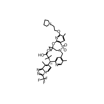 Cc1cnc([C@@H](c2ccn3c(C(F)(F)F)nnc3c2C)C(C)(C)C(=O)O)cc1CN1CC2(CC2)Oc2nc(OCCN3CCCC3)c(C)cc2S1(=O)=O